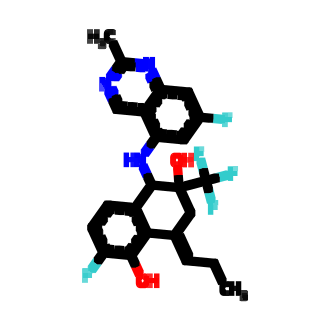 CCC=C1CC(O)(C(F)(F)F)C(Nc2cc(F)cc3nc(C)ncc23)c2ccc(F)c(O)c21